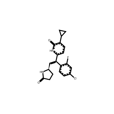 O=C1CC[C@H](C=C(c2ccc(C3CC3)c(=O)[nH]2)c2ccc(Cl)cc2F)N1